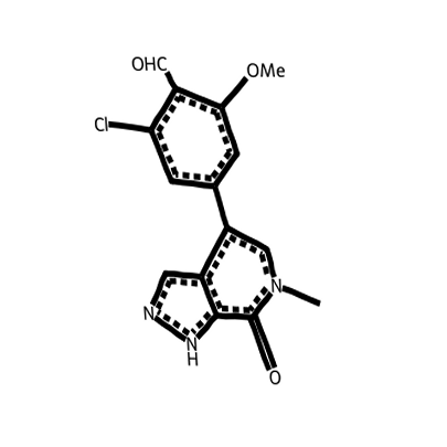 COc1cc(-c2cn(C)c(=O)c3[nH]ncc23)cc(Cl)c1C=O